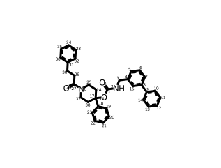 O=C(NCc1cccc(-c2ccccc2)c1)OC1(c2ccccc2)CCN(C(=O)CCc2ccccc2)CC1